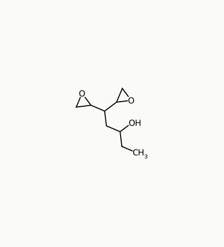 CCC(O)CC(C1CO1)C1CO1